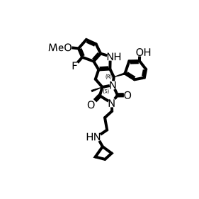 COc1ccc2[nH]c3c(c2c1F)C[C@@]1(C)C(=O)N(CCCNC2CCC2)C(=O)N1[C@@H]3c1cccc(O)c1